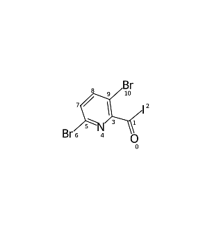 O=C(I)c1nc(Br)ccc1Br